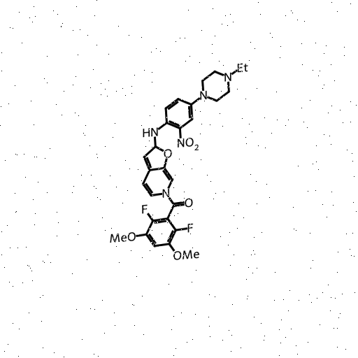 CCN1CCN(c2ccc(NC3C=C4C=CN(C(=O)c5c(F)c(OC)cc(OC)c5F)C=C4O3)c([N+](=O)[O-])c2)CC1